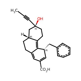 CC#C[C@]1(O)CCC2=C3C(=CC(C(=O)O)=C[C@H]3Cc3ccccc3)CC[C@@H]2C1